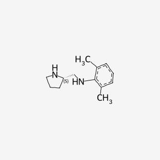 Cc1cccc(C)c1NC[C@@H]1CCCN1